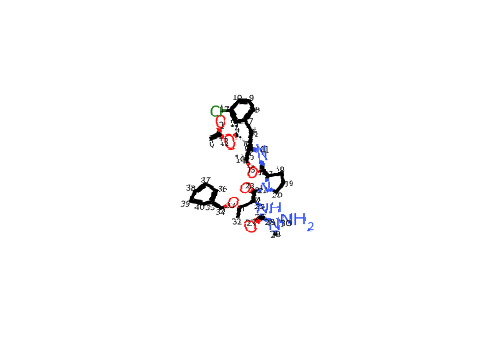 CC(=O)OC[C@@]1(Cc2cccc(Cl)c2)COC(C2CCCN2C(=O)[C@@H](NC(=O)N(C)N)C(C)OCc2ccccc2)=N1